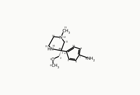 COC[C@@]1(c2ccc(N)cc2)CN(C)CCN1